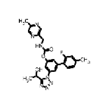 Cc1ccc(-c2cc(OC(=O)NCc3cnc(C)cn3)cc(-n3nnnc3C(C)O)c2)c(F)c1